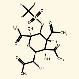 CC(=O)C(O)[C@H]1O[C@@](O)(C(C)=O)[C@@H](OS(=O)(=O)C(F)(F)F)[C@](O)(C(C)=O)[C@@]1(O)C(C)=O